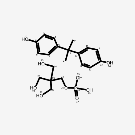 CC(C)(c1ccc(O)cc1)c1ccc(O)cc1.O=P(O)(O)OCC(CO)(CO)CO